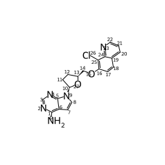 Nc1ncnc2c1ccn2[C@H]1CC[C@@H](COc2ccc3cccnc3c2Cl)O1